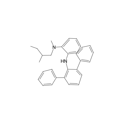 CCC(C)CN(C)c1ccccc1Nc1c(-c2ccccc2)cccc1-c1ccccc1